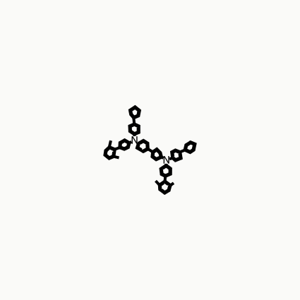 Cc1cccc(C)c1-c1ccc(N(c2ccc(-c3ccccc3)cc2)c2ccc(-c3ccc(N(c4ccc(-c5ccccc5)cc4)c4ccc(-c5c(C)cccc5C)cc4)cc3)cc2)cc1